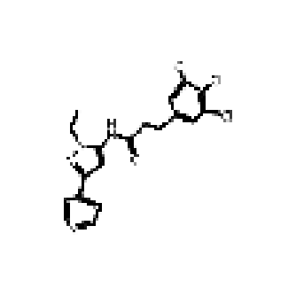 CCn1nc(-c2ccncc2)cc1NC(=O)CCc1cc(Cl)c(Cl)c(Cl)c1